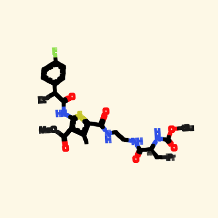 CCC(C(=O)Nc1sc(C(=O)NCCNC(=O)[C@H](CC(C)C)NC(=O)OC(C)(C)C)c(C)c1C(=O)OC)c1ccc(F)cc1